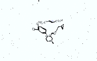 CN1CC[C@@H](c2ccc(Cl)c(Cl)c2)[C@@H](COCC2CC2)C1.O=C(O)/C=C/C(=O)O